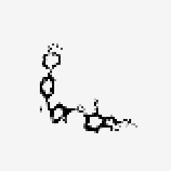 Cc1cc2c(F)c(Oc3cc(Nc4ccc(N5CCN(C)CC5)cc4)ncn3)ccc2[nH]1